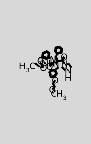 CCCS(=O)(=O)Nc1ccccc1-n1c(-c2ccccc2)c(C(=O)N2CCNCC2)n(Cc2cccc(OCCOC)c2)c1=O